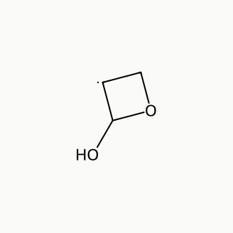 OC1[CH]CO1